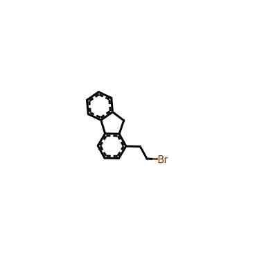 BrCCc1cccc2c1Cc1ccccc1-2